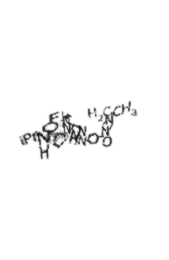 C=C(C)N1CCN(C(=O)c2ccc(Nc3ncc(C(F)(F)F)c(N[C@@H]4CCC[C@@H]4C(=O)NC(C)C)n3)cc2)CC1